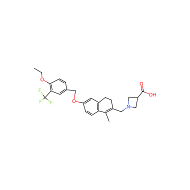 CCOc1ccc(COc2ccc3c(c2)CCC(CN2CC(C(=O)O)C2)=C3C)cc1C(F)(F)F